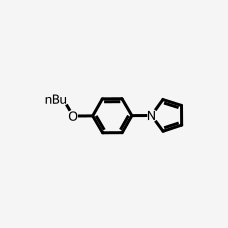 CCCCOc1ccc(-n2cccc2)cc1